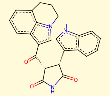 O=C1NC(=O)[C@@H](c2c[nH]c3ccccc23)[C@H]1C(=O)c1cn2c3c(cccc13)CCC2